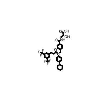 O=C(NC[C@@H](O)C(=O)O)c1ccc(CN(C(=O)CCc2cc(C(F)(F)F)cc(C(F)(F)F)c2)c2ccc(C3CCCCC3)cc2)cc1